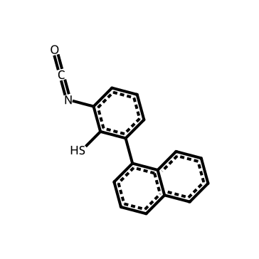 O=C=Nc1cccc(-c2cccc3ccccc23)c1S